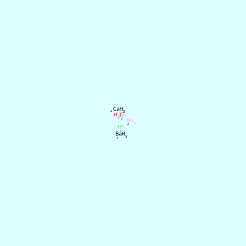 B.F.O.[BaH2].[CaH2]